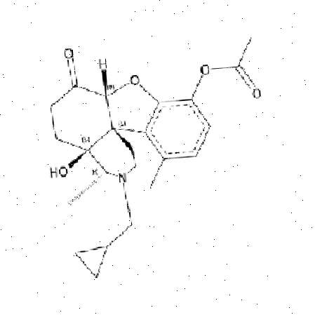 CC(=O)Oc1ccc(C)c2c1O[C@H]1C(=O)CC[C@@]3(O)[C@@H](C)N(CC4CC4)CC[C@]213